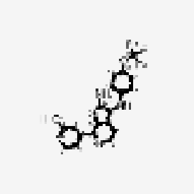 Cc1cc(-c2nccc3c(Nc4ccc(OC(F)(F)F)cc4)c(N)oc23)ccn1